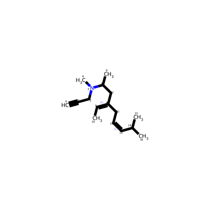 C#CCN(C)C(C)C/C(=C/C)C/C=C\C(C)C